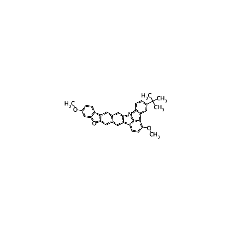 COc1ccc2c(c1)oc1cc3cc4c5ccc(OC)c6c7cc(C(C)(C)C)ccc7n(c4cc3cc12)c56